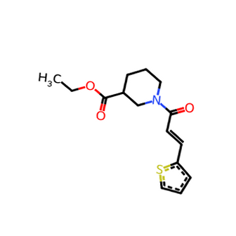 CCOC(=O)C1CCCN(C(=O)C=Cc2cccs2)C1